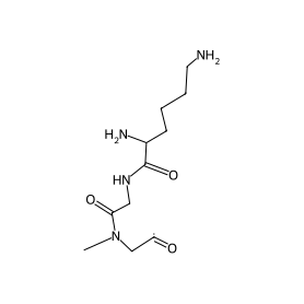 CN(C[C]=O)C(=O)CNC(=O)C(N)CCCCN